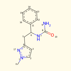 Cn1ccc(CC(NC(N)=O)c2ccccc2)n1